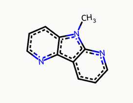 Cn1c2cccnc2c2cccnc21